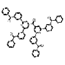 O=C(c1ccccc1)c1cccc(-c2cc(C(=O)c3cc(-c4cccc(C(=O)c5ccccc5)c4)nc(-c4cccc(C(=O)c5ccccc5)c4)c3)cc(-c3cccc(C(=O)c4ccccc4)c3)n2)c1